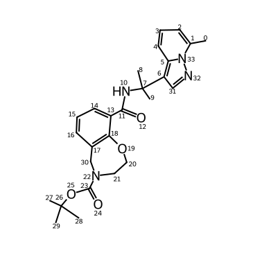 Cc1cccc2c(C(C)(C)NC(=O)c3cccc4c3OCCN(C(=O)OC(C)(C)C)C4)cnn12